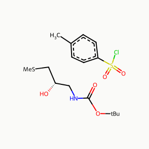 CSC[C@@H](O)CNC(=O)OC(C)(C)C.Cc1ccc(S(=O)(=O)Cl)cc1